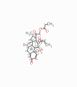 CCC(=O)OCC(=O)[C@]1(OC(=O)CC)[C@@H](C)C[C@H]2[C@@H]3[C@H](Br)CC4=CC(=O)C=C[C@]4(C)[C@@]3(F)C(=O)C[C@@]21C